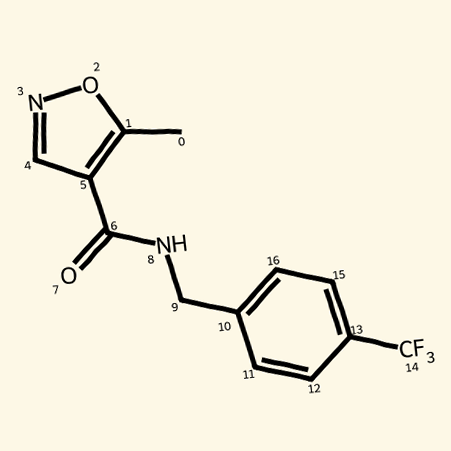 Cc1oncc1C(=O)NCc1ccc(C(F)(F)F)cc1